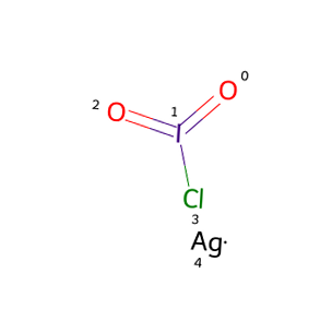 O=I(=O)Cl.[Ag]